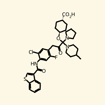 CC1CCN(C(O[C@H]2CC[C@H](C(=O)O)CC2)(C(=O)Cc2cc(Cl)c(NC(=O)c3csc4ccccc34)cc2F)N2CCCC2)CC1